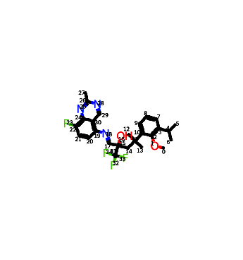 COc1c(C(C)C)cccc1C(C)(C)CC(O)(/C=N/c1ccc(F)c2nc(C)ncc12)C(F)(F)F